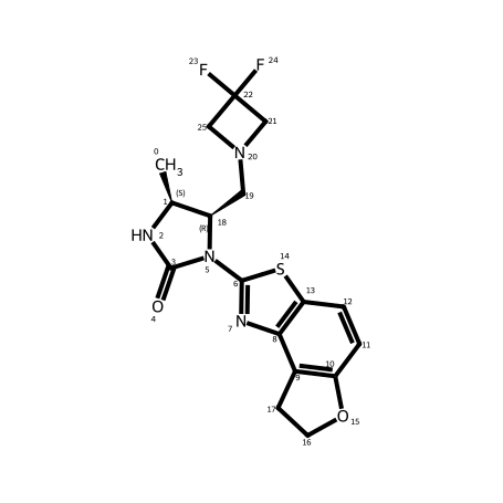 C[C@@H]1NC(=O)N(c2nc3c4c(ccc3s2)OCC4)[C@@H]1CN1CC(F)(F)C1